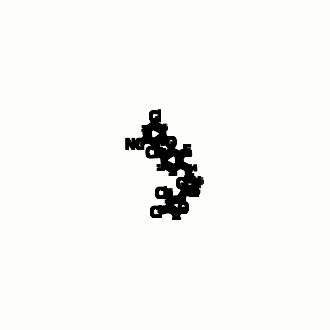 N#Cc1cc(Cl)cc(Oc2c(Cl)ccc(Cc3nnc(-c4occ(Cl)c4Cl)o3)c2F)c1